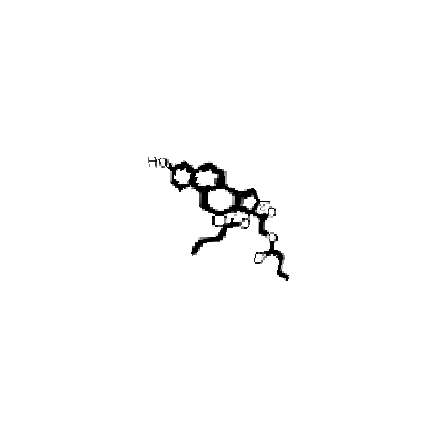 CCCC(=O)OCC(=O)[C@]1(OC(=O)CCC)[C@H](C)C=C2c3ccc4cc(O)ccc4c3CC[C@@]21C